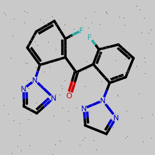 O=C(c1c(F)cccc1-n1nccn1)c1c(F)cccc1-n1nccn1